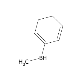 CBC1=CCCC=C1